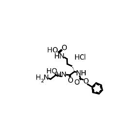 Cl.NCC(O)CNC(=O)[C@H](CCCNC(=O)O)NC(=O)OCc1ccccc1